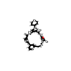 O=C1Nc2cn(C3CCOCC3)nc2C(=O)NC2CC(=O)N(CCCc3cc(ccn3)-c3nc1cs3)C2=O